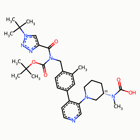 Cc1cc(-c2ccncc2N2CCC[C@H](N(C)C(=O)O)C2)ccc1CN(C(=O)OC(C)(C)C)C(=O)c1cn(C(C)(C)C)nn1